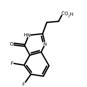 O=C(O)CCc1nc2ccc(F)c(F)c2c(=O)[nH]1